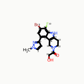 Cn1ccc(-c2cc(Br)c(F)c3[nH]c4c(c23)CN(C(=O)CO)CC4)n1